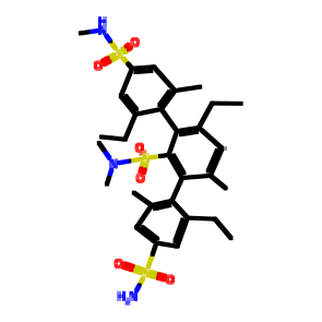 CCc1[c]c(C)c(-c2c(C)cc(S(N)(=O)=O)cc2CC)c(S(=O)(=O)N(C)C)c1-c1c(C)cc(S(=O)(=O)NC)cc1CC